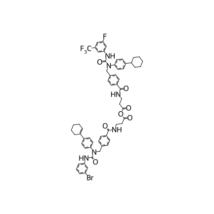 O=C(CCNC(=O)c1ccc(CN(C(=O)Nc2cccc(Br)c2)c2ccc(C3=CCCCC3)cc2)cc1)OC(=O)CCNC(=O)c1ccc(CN(C(=O)Nc2cc(F)cc(C(F)(F)F)c2)c2ccc(C3CCCCC3)cc2)cc1